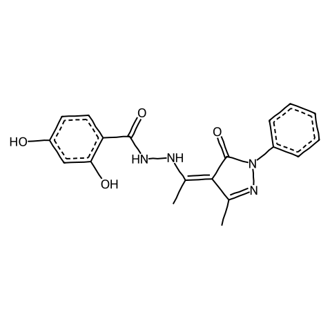 CC1=NN(c2ccccc2)C(=O)/C1=C(/C)NNC(=O)c1ccc(O)cc1O